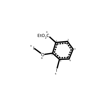 CCOC(=O)c1cccc(I)c1OI